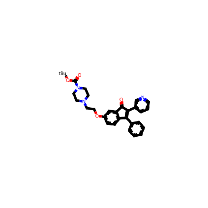 CC(C)(C)OC(=O)N1CCN(CCOc2ccc3c(c2)C(=O)C(c2cccnc2)=C3c2ccccc2)CC1